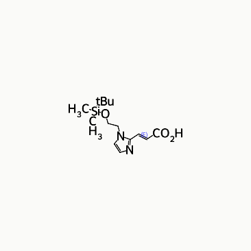 CC(C)(C)[Si](C)(C)OCCn1ccnc1/C=C/C(=O)O